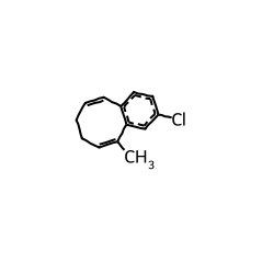 C/C1=C/CC/C=C\c2ccc(Cl)cc21